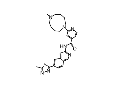 Cc1nnc(-c2ccc3cnc(NC(=O)c4ccnc(N5CCCCN(C)CCCC5)c4)cc3c2)s1